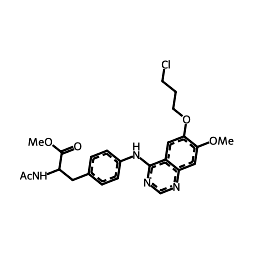 COC(=O)C(Cc1ccc(Nc2ncnc3cc(OC)c(OCCCCl)cc23)cc1)NC(C)=O